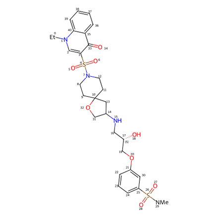 CCn1cc(S(=O)(=O)N2CCC3(CC2)CC(NC[C@H](O)COc2cccc(S(=O)(=O)NC)c2)CO3)c(=O)c2ccccc21